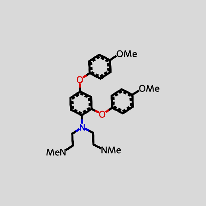 CNCCN(CCNC)c1ccc(Oc2ccc(OC)cc2)cc1Oc1ccc(OC)cc1